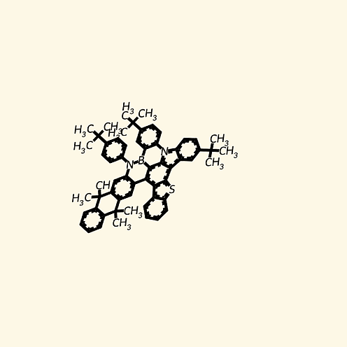 CC(C)(C)c1ccc(N2B3c4cc(C(C)(C)C)ccc4-n4c5ccc(C(C)(C)C)cc5c5c6sc7ccccc7c6c(c3c54)-c3cc4c(cc32)C(C)(C)c2ccccc2C4(C)C)cc1